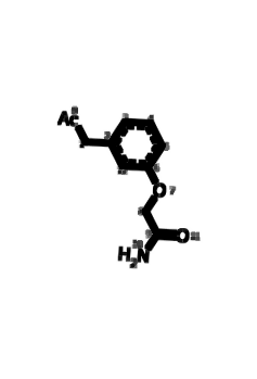 CC(=O)Cc1cccc(OCC(N)=O)c1